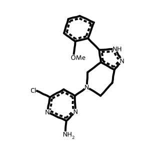 COc1ccccc1-c1[nH]nc2c1CN(c1cc(Cl)nc(N)n1)CC2